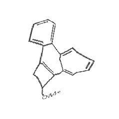 COC1Cc2c1c1ccccc1c1ccccc21